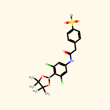 CCS(=O)(=O)c1ccc(CC(=O)Nc2cc(Cl)c(B3OC(C)(C)C(C)(C)O3)c(Cl)c2)cc1